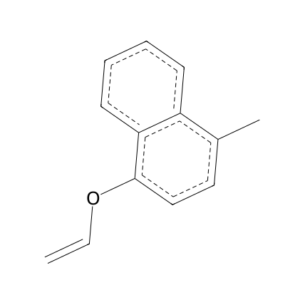 C=COc1ccc(C)c2ccccc12